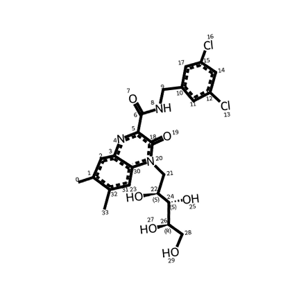 Cc1cc2nc(C(=O)NCc3cc(Cl)cc(Cl)c3)c(=O)n(C[C@H](O)[C@H](O)[C@H](O)CO)c2cc1C